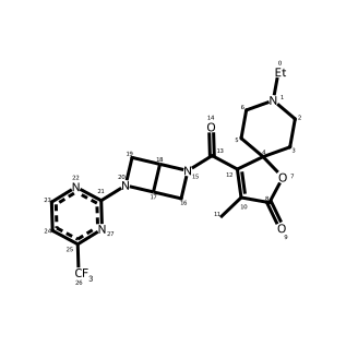 CCN1CCC2(CC1)OC(=O)C(C)=C2C(=O)N1CC2C1CN2c1nccc(C(F)(F)F)n1